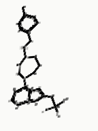 Cc1ccc(CNC2CCCN(c3ncnc4sc(CC(F)(F)F)cc34)CC2)cc1